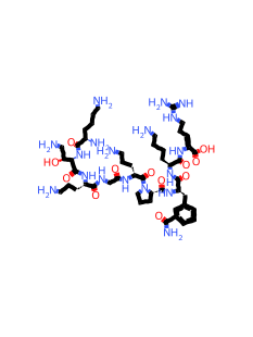 N=C(N)NCC/C=C(\NC(=O)[C@H](CCCCN)NC(=O)[C@H](Cc1cccc(C(N)=O)c1)NC(=O)[C@@H]1CCCN1C(=O)[C@@H](CCCN)NC(=O)CNC(=O)[C@H](CCCN)NC(=O)[C@@H](NC(=O)[C@@H](N)CCCCN)[C@@H](O)CN)C(=O)O